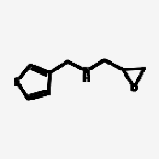 c1cc(CNCC2CO2)cs1